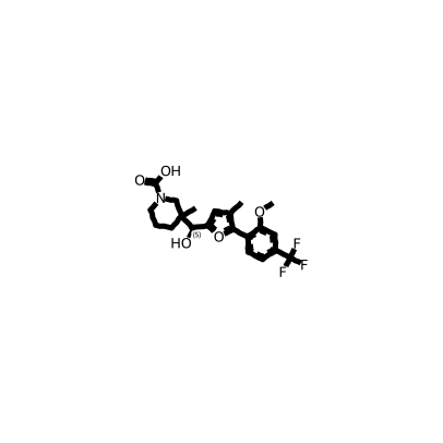 COc1cc(C(F)(F)F)ccc1-c1oc([C@@H](O)C2(C)CCCN(C(=O)O)C2)cc1C